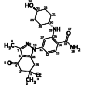 CCC1(C)CC(=O)c2c(C)nn(-c3ccc(C(N)=O)c(N[C@H]4CC[C@H](O)CC4)c3)c2C1